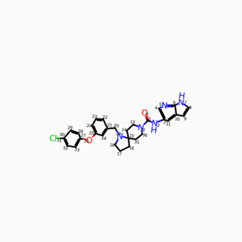 O=C(Nc1cnc2[nH]ccc2c1)N1CCC2(CCCN2Cc2cccc(Oc3ccc(Cl)cc3)c2)CC1